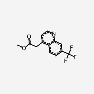 COC(=O)Cc1ccnc2cc(C(F)(F)F)ccc12